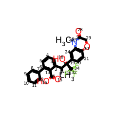 CC(c1cccc(-c2ccccc2)c1C(=O)O)C(O)(c1ccc2c(c1)N(C)C(=O)CO2)C(F)(F)F